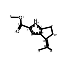 COC(=O)c1cc2c([nH]1)CCC2=C(C)C